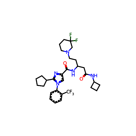 O=C(CC(CCN1CCCC(F)(F)C1)NC(=O)c1cn(-c2ccccc2C(F)(F)F)c(C2CCCC2)n1)NC1CCC1